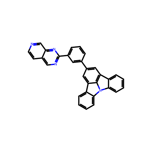 c1cc(-c2cc3c4ccccc4n4c5ccccc5c(c2)c34)cc(-c2ncc3ccncc3n2)c1